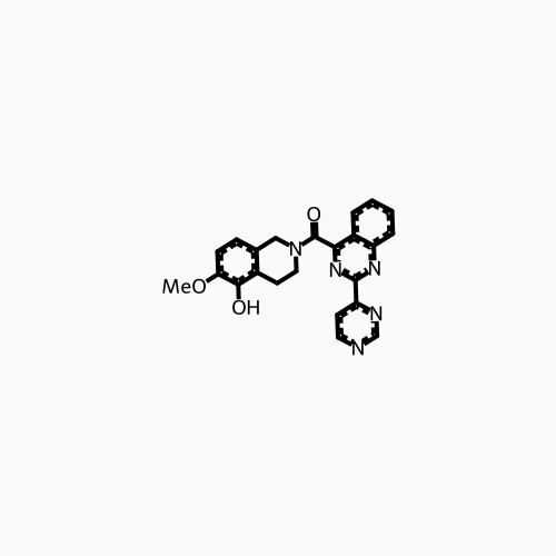 COc1ccc2c(c1O)CCN(C(=O)c1nc(-c3ccncn3)nc3ccccc13)C2